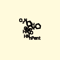 CCCCCNC(=O)NS(=O)(=O)c1cc([N+](=O)[O-])ccc1NC1CCCCC1